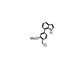 COc1cc(-c2cccc3cc[nH]c23)ccc1CCl